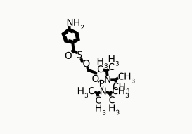 CC(C)N(C(C)C)P(OCCOCSC(=O)c1ccc(N)cc1)N(C(C)C)C(C)C